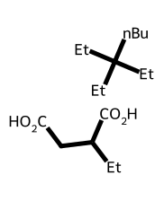 CCC(CC(=O)O)C(=O)O.CCCCC(CC)(CC)CC